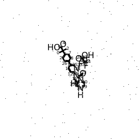 CC(C)(C(=O)O)c1ccc(-c2ccc(N3C[C@@H]4CNCCN4C3=O)nc2)cc1.O=C(O)C(F)(F)F